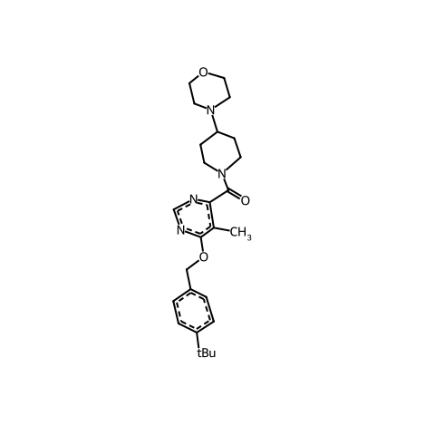 Cc1c(OCc2ccc(C(C)(C)C)cc2)ncnc1C(=O)N1CCC(N2CCOCC2)CC1